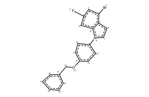 Fc1cc(Br)c2ccn(-c3ccc(OCc4ccccc4)cc3)c2c1